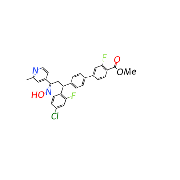 COC(=O)c1ccc(-c2ccc(C(CC(=NO)c3ccnc(C)c3)c3ccc(Cl)cc3F)cc2)cc1F